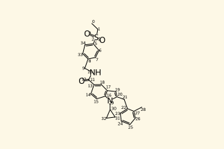 CCS(=O)(=O)c1ccc(CNC(=O)c2ccc3c(c2)cc(Cc2ccccc2C)n3C2CC2)cc1